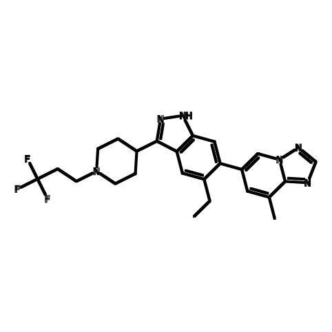 CCc1cc2c(C3CCN(CCC(F)(F)F)CC3)n[nH]c2cc1-c1cc(C)c2ncnn2c1